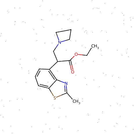 CCOC(=O)C(CN1CCC1)c1cccc2sc(C)nc12